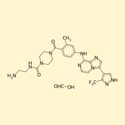 Cc1cc(Nc2nccn3c(-c4c[nH]nc4C(F)(F)F)cnc23)ccc1C(=O)N1CCN(C(=O)NCCN)CC1.O=CO